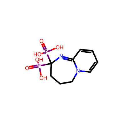 O=P(O)(O)C1(P(=O)(O)O)CCCN2C=CC=CC2=N1